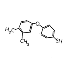 Cc1ccc(Oc2ccc(S)cc2)cc1C